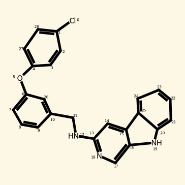 Clc1ccc(Oc2cccc(CNc3cc4c(cn3)[nH]c3ccccc34)c2)cc1